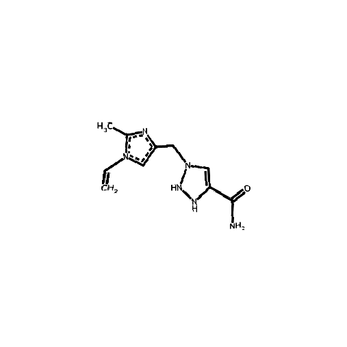 C=Cn1cc(CN2C=C(C(N)=O)NN2)nc1C